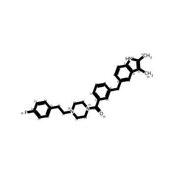 Cc1[nH]c2ccc(Cc3cccc(C(=O)N4CCN(CCc5ccc(F)cc5)CC4)c3)cc2c1C